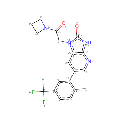 Cc1ccc(C(F)(F)F)cc1-c1cnc2[nH]c(=O)n(CC(=O)N3CCC3)c2c1